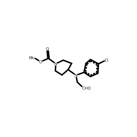 CC(C)(C)OC(=O)N1CCC(N(CC=O)c2ccc(Cl)cc2)CC1